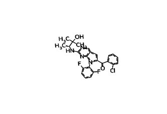 C[C@H](Nc1ncc2cc(C(=O)c3ccccc3Cl)n(-c3c(F)cccc3F)c2n1)C(C)(C)O